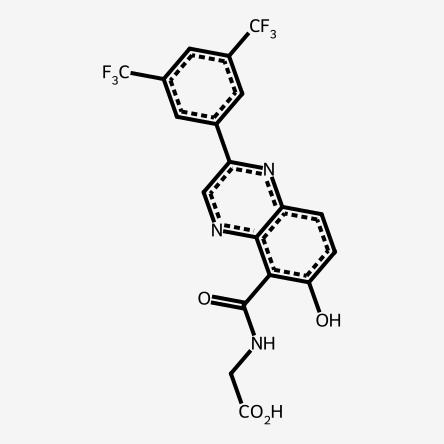 O=C(O)CNC(=O)c1c(O)ccc2nc(-c3cc(C(F)(F)F)cc(C(F)(F)F)c3)cnc12